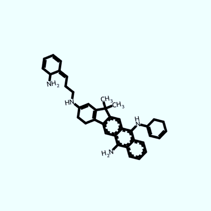 CC1(C)C2=C(CCC(NCC/C=C3/C=CC=CC3N)=C2)c2cc3c(N)c4ccccc4c(NC4=CC=CCC4)c3cc21